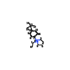 CC[N+](CC)(CC)c1ccc(C(C)(C)C)cc1